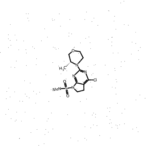 CNS(=O)(=O)N1CCc2c(Cl)nc(N3CCOC[C@H]3C)nc21